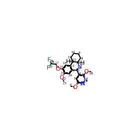 COc1cc(C2=N[C@@H]3CCCC[C@@H]3c3cc(OCC(F)F)c(OC)cc32)c(OC)nn1